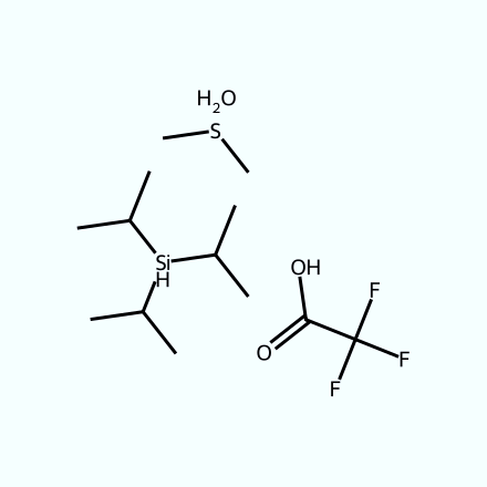 CC(C)[SiH](C(C)C)C(C)C.CSC.O.O=C(O)C(F)(F)F